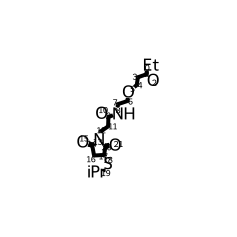 CCC(=O)CCOCCNC(=O)CCN1C(=O)CC(SC(C)C)C1=O